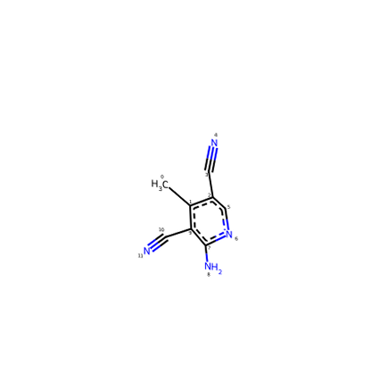 Cc1c(C#N)cnc(N)c1C#N